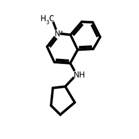 C[n+]1ccc(NC2CCCC2)c2ccccc21